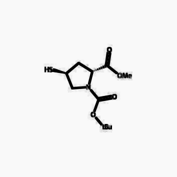 COC(=O)[C@H]1C[C@H](S)CN1C(=O)OC(C)(C)C